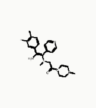 Cc1ccc(/C(N)=C(\c2ccncc2)N(C)CC(=O)N2CCN(C)CC2)cc1F